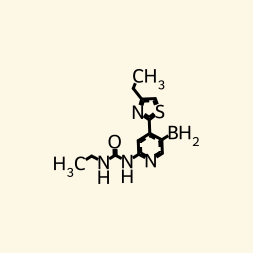 Bc1cnc(NC(=O)NCC)cc1-c1nc(CC)cs1